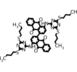 CCCCSc1nc(Nc2ccc(-c3ccc(Nc4nc(SCCCC)nc(SCCCC)n4)c4c3C(=O)c3ccccc3C4=O)c3c2C(=O)c2ccccc2C3=O)nc(SCCCC)n1